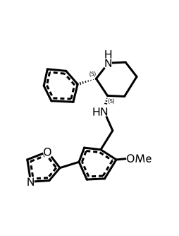 COc1ccc(-c2cnco2)cc1CN[C@H]1CCCN[C@H]1c1ccccc1